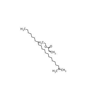 C=CC(=O)OCC.CCCCCCCCCCCCCCCCCCCCN(C)C